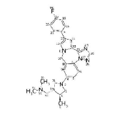 C[C@@H]1CN(c2ccc3c(c2)Cn2cc(-c4ccc(F)cc4)cc2-c2ncnn2-3)C[C@H]1CN(C)C